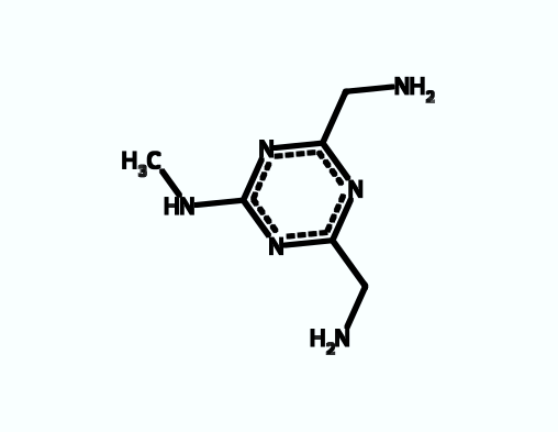 CNc1nc(CN)nc(CN)n1